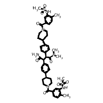 Cc1ccc(C(=O)N2CCC(c3ccc(C(C(N)=O)C(C(=O)N(C)C)c4ccc(C5CCN(C(=O)c6ccc(C)c(NS(C)(=O)=O)c6)CC5)cc4)cc3)CC2)cc1NS(C)(=O)=O